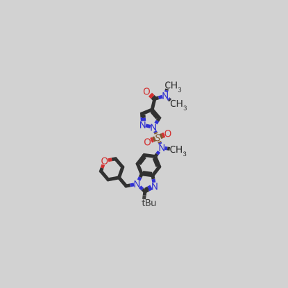 CN(C)C(=O)c1cnn(S(=O)(=O)N(C)c2ccc3c(c2)nc(C(C)(C)C)n3CC2CCOCC2)c1